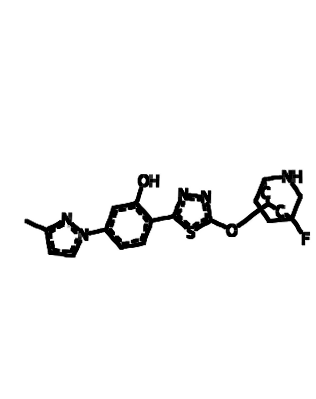 Cc1ccn(-c2ccc(-c3nnc(OC4CC5CCC(F)(CN5)C4)s3)c(O)c2)n1